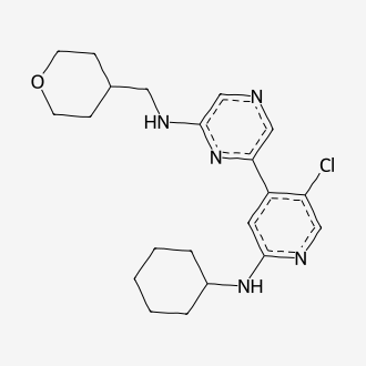 Clc1cnc(NC2CCCCC2)cc1-c1cncc(NCC2CCOCC2)n1